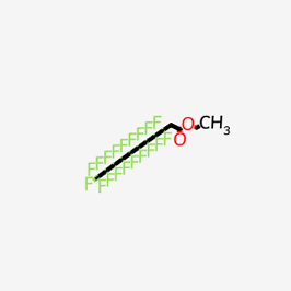 CCOC(=O)CC(F)(F)C(F)(F)C(F)(F)C(F)(F)C(F)(F)C(F)(F)C(F)(F)C(F)(F)C(F)(F)F